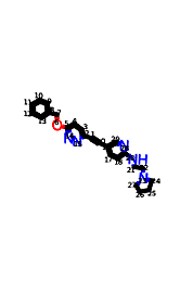 C(#Cc1ccc(OCc2ccccc2)nn1)c1ccc(NCCN2CCCC2)nc1